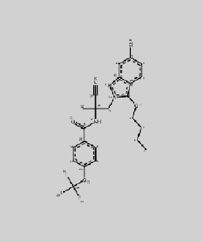 CCCCOc1c2ccc(Cl)cc2nn1CC(C)(C#N)NC(=O)c1ccc(OC(F)(F)F)cc1